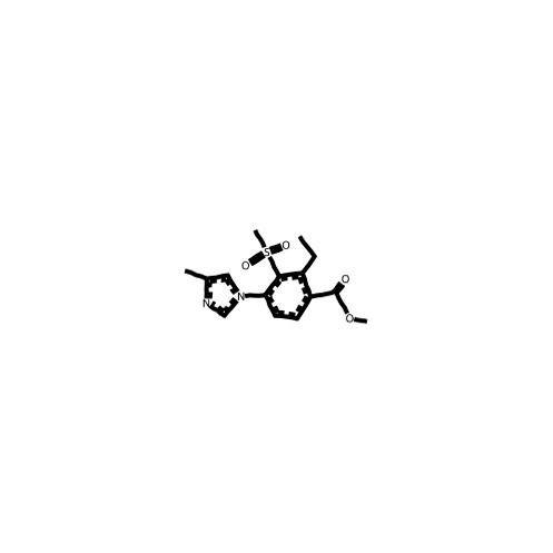 CCc1c(C(=O)OC)ccc(-n2cnc(C)c2)c1S(C)(=O)=O